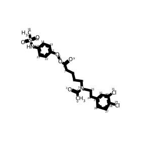 CC(=O)N(CCCCC(=O)OOc1ccc(NS(C)(=O)=O)cc1)CCc1ccc(Cl)c(Cl)c1